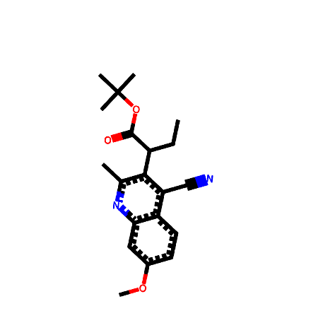 CCC(C(=O)OC(C)(C)C)c1c(C)nc2cc(OC)ccc2c1C#N